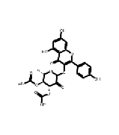 CCCC(=O)O[C@H]1[C@H](C)OC(Oc2c(-c3ccc(O)cc3)oc3cc(O)cc(O)c3c2=O)C(=O)[C@@H]1OC(=O)CCC